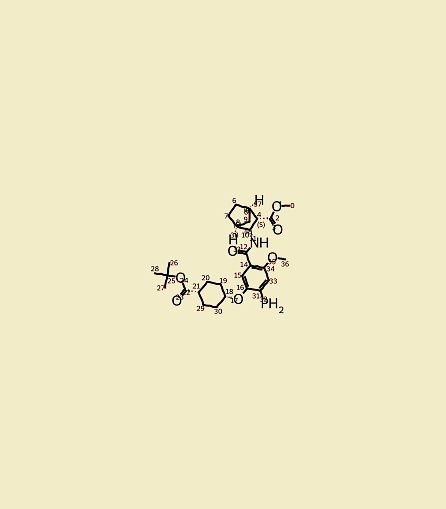 COC(=O)[C@H]1[C@@H]2CC[C@@H](C2)[C@H]1NC(=O)c1cc(O[C@H]2CC[C@@H](C(=O)OC(C)(C)C)CC2)c(P)cc1OC